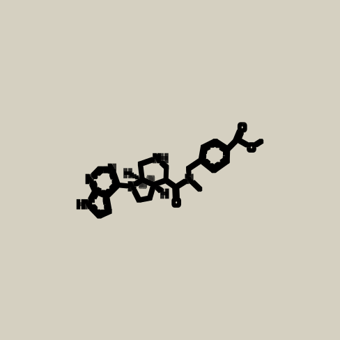 COC(=O)c1ccc(CN(C)C(=O)C2CNC[C@H]3[C@H]2CCN3c2ncnc3[nH]ccc23)cc1